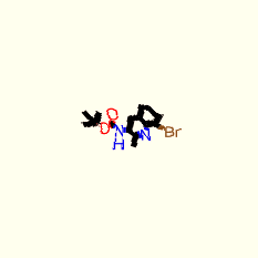 Cc1nc2c(Br)cccc2cc1NC(=O)OC(C)(C)C